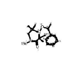 CCC1(C)C(=O)N(C(C)(C)C)CC(C)(C)N1OC(C)c1ccccc1